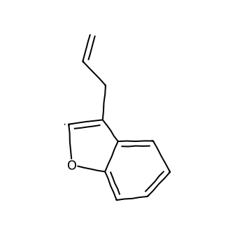 C=CCc1[c]oc2ccccc12